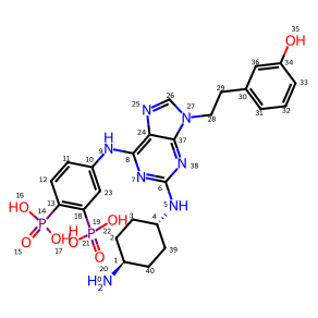 N[C@H]1CC[C@H](Nc2nc(Nc3ccc(P(=O)(O)O)c(P(=O)(O)O)c3)c3ncn(CCc4cccc(O)c4)c3n2)CC1